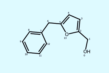 OCc1ccc(Cc2ccccc2)o1